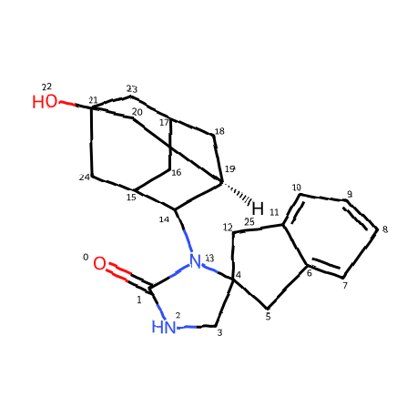 O=C1NCC2(Cc3ccccc3C2)N1C1C2CC3C[C@@H]1CC(O)(C3)C2